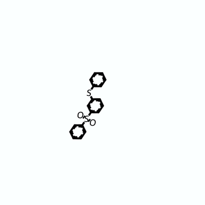 O=S(=O)(c1ccccc1)c1cccc(Sc2ccccc2)c1